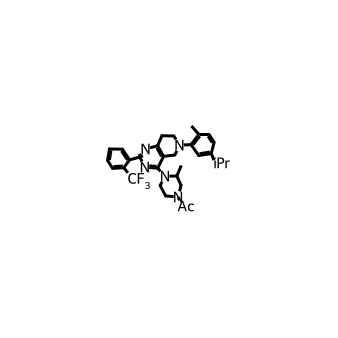 CC(=O)N1CCN(c2nc(-c3ccccc3C(F)(F)F)nc3c2CN(c2cc(C(C)C)ccc2C)CC3)C(C)C1